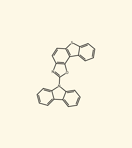 c1ccc2c(c1)sc1ccc3nc(-n4c5ccccc5c5ccccc54)oc3c12